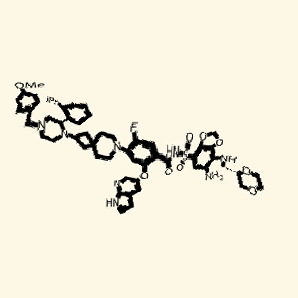 COc1ccc(CN2CCN(C3CC4(CCN(c5cc(Oc6cnc7[nH]ccc7c6)c(C(=O)NS(=O)(=O)c6cc(N)c(NC[C@H]7COCCO7)c7c6OCO7)cc5F)CC4)C3)[C@H](c3ccccc3C(C)C)C2)cc1